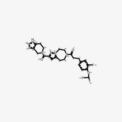 O=C(CCc1ccc(OC(F)F)c(F)c1)N1CCc2cc(C(=O)N3CCc4[nH]nnc4C3)nn2CC1